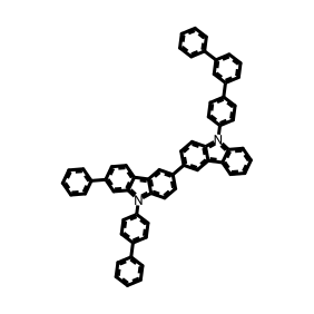 c1ccc(-c2ccc(-n3c4ccc(-c5ccc6c(c5)c5ccccc5n6-c5ccc(-c6cccc(-c7ccccc7)c6)cc5)cc4c4ccc(-c5ccccc5)cc43)cc2)cc1